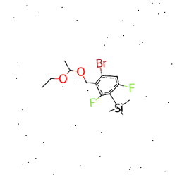 CCOC(C)OCc1c(Br)cc(F)c([Si](C)(C)C)c1F